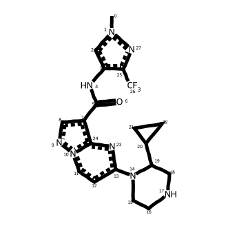 Cn1cc(NC(=O)c2cnn3ccc(N4CCNCC4C4CC4)nc23)c(C(F)(F)F)n1